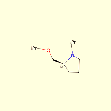 CC(C)OC[C@@H]1CCCN1C(C)C